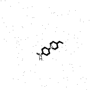 CCC1CCN(C2CCC(NC)CC2)CC1